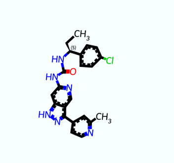 CC[C@H](NC(=O)Nc1cc2[nH]nc(-c3ccnc(C)c3)c2cn1)c1ccc(Cl)cc1